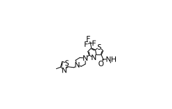 CNC(=O)c1csc2c(C(F)(F)F)cc(N3CCN(Cc4nc(C)cs4)CC3)nc12